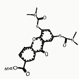 COC(=O)c1ccc2oc3c(SC(=O)N(C)C)cc(SC(=O)N(C)C)cc3c(=O)c2c1